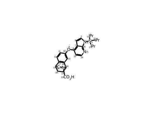 CC(C)[Si](C(C)C)(C(C)C)n1ccc2c(Oc3ccc4c(c3)C3CCC4CN3C(=O)O)ccnc21